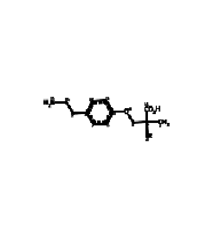 CCC(C)(COc1ccc(CCN)cc1)C(=O)O